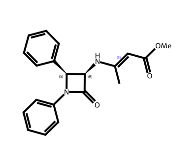 COC(=O)/C=C(\C)N[C@H]1C(=O)N(c2ccccc2)[C@H]1c1ccccc1